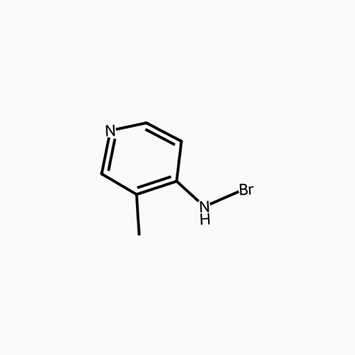 Cc1cnccc1NBr